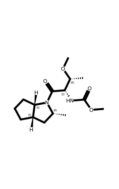 COC(=O)N[C@H](C(=O)N1[C@H](C)C[C@@H]2CCC[C@@H]21)[C@@H](C)OC